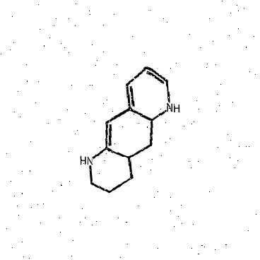 C1=CNC2CC3CCCNC3=CC2=C1